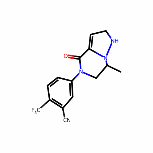 CC1CN(c2ccc(C(F)(F)F)c(C#N)c2)C(=O)C2=CCNN21